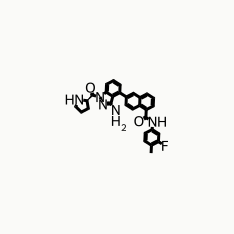 Cc1ccc(NC(=O)c2cccc3cc(-c4cccc5c4c(N)nn5C(=O)[C@H]4CCCN4)ccc23)cc1F